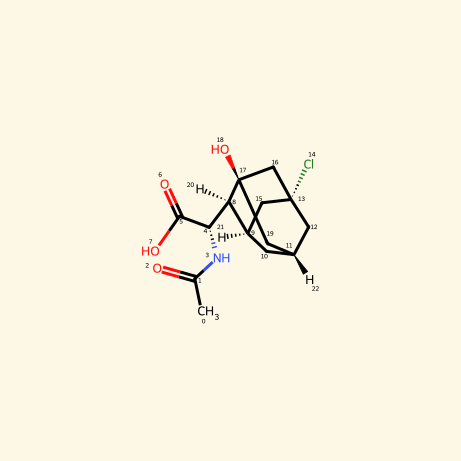 CC(=O)N[C@H](C(=O)O)[C@@H]1[C@@H]2C[C@H]3C[C@@](Cl)(C2)C[C@]1(O)C3